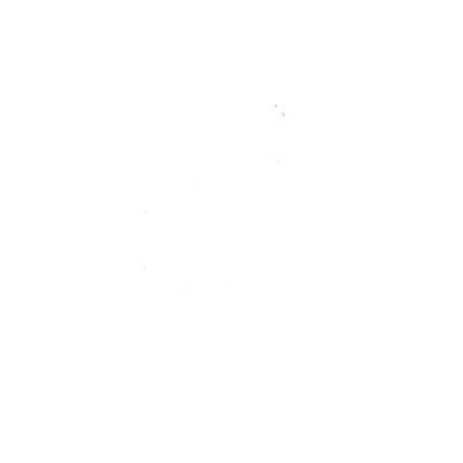 CC(C)c1cccc2c(C#N)cccc12